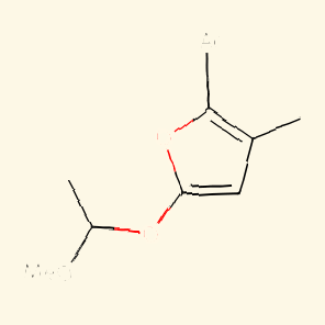 COC(C)Oc1cc(C)c(C(C)=O)o1